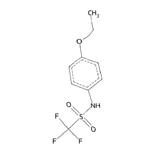 CCOc1ccc(NS(=O)(=O)C(F)(F)F)cc1